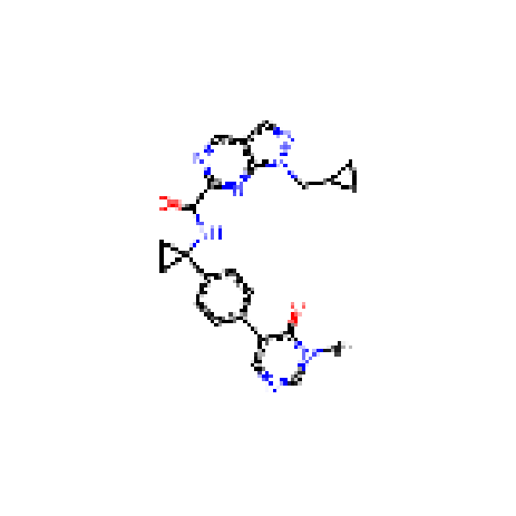 CC(C)n1cncc(-c2ccc(C3(NC(=O)c4ncc5cnn(CC6CC6)c5n4)CC3)cc2)c1=O